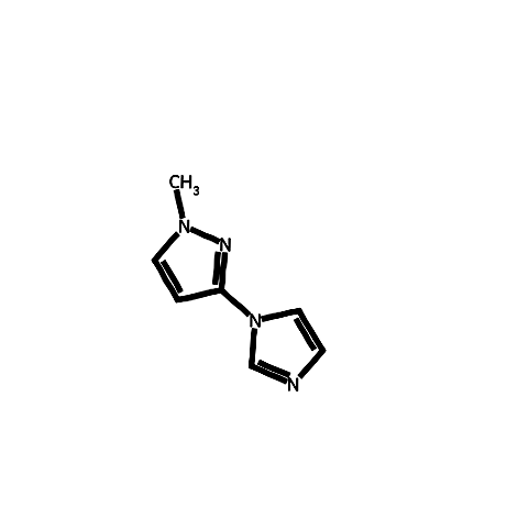 Cn1ccc(-n2ccnc2)n1